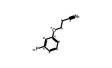 N#CCCOc1cccc(F)c1